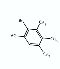 Cc1cc(O)c(Br)c(C)c1C